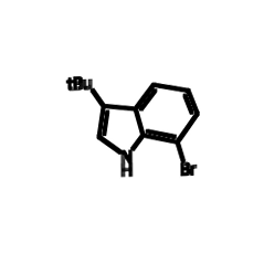 CC(C)(C)c1c[nH]c2c(Br)cccc12